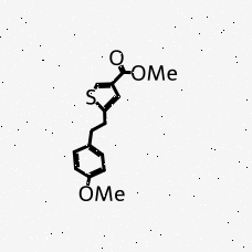 COC(=O)c1csc(CCc2ccc(OC)cc2)c1